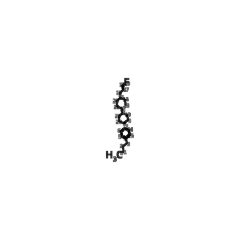 CCCCc1ccc([C@H]2CC[C@H]([C@H]3CC[C@H](CC=CF)CC3)CC2)cc1